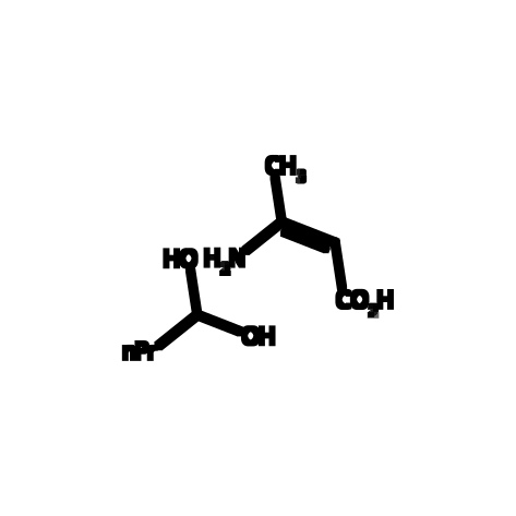 C/C(N)=C/C(=O)O.CCCC(O)O